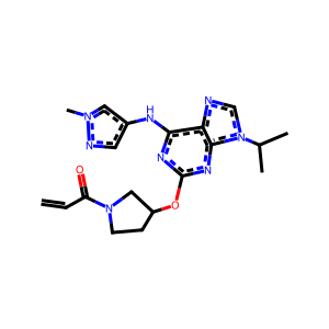 C=CC(=O)N1CCC(Oc2nc(Nc3cnn(C)c3)c3ncn(C(C)C)c3n2)C1